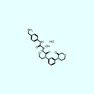 Cl.NCc1ccc(NC(=O)[C@H](O)[C@H]2OCCN(c3cccc(N4CCOCC4=O)c3)C2=O)cc1